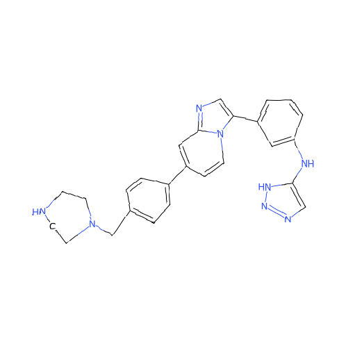 c1cc(Nc2cnn[nH]2)cc(-c2cnc3cc(-c4ccc(CN5CCNCC5)cc4)ccn23)c1